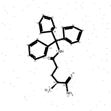 C[C@@H](CCC(=O)NC(c1ccccc1)(c1ccccc1)c1ccccc1)C(N)=S